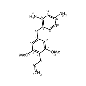 C=CCc1c(OC)cc(Cc2cnc(N)nc2N)cc1OC